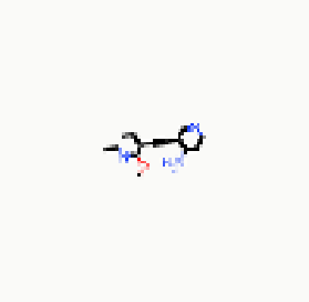 C=C/N=C(OC)\C(C#Cc1cnccc1N)=C/C